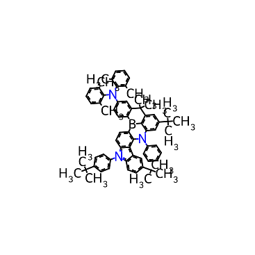 Cc1cccc(C)c1N(c1ccc2c(c1)C(C)(C)c1cc(C(C)(C)C)cc3c1B2c1ccc2c(c1N3c1ccccc1)c1cc(C(C)(C)C)ccc1n2-c1ccc(C(C)(C)C)cc1)c1c(C)cccc1C